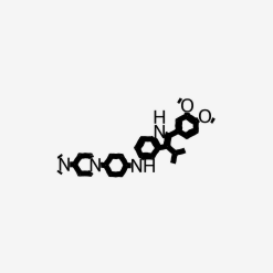 COc1ccc(-c2[nH]c3ccc(NC4CCC(N5CCC(N(C)C)CC5)CC4)cc3c2C(C)C)cc1OC